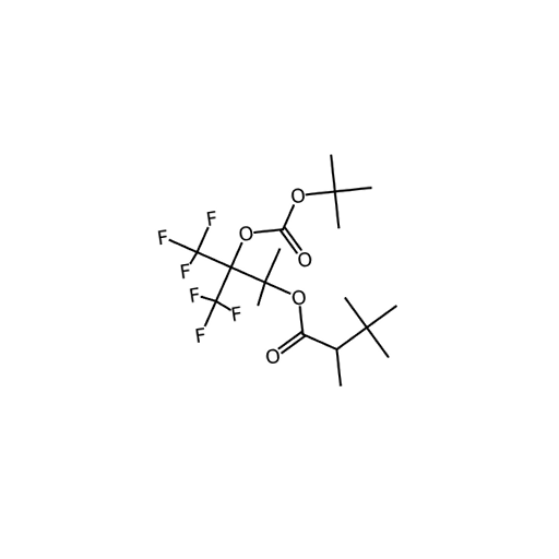 CC(C(=O)OC(C)(C)C(OC(=O)OC(C)(C)C)(C(F)(F)F)C(F)(F)F)C(C)(C)C